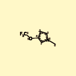 Cn1c[c]c(OC(F)(F)F)c1